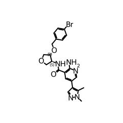 Cc1c(-c2cnc(N)c(C(=O)N[C@H]3COC[C@@H]3OCc3ccc(Br)cc3)c2)cnn1C